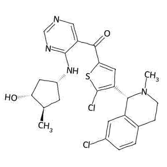 C[C@@H]1C[C@@H](Nc2ncncc2C(=O)c2cc([C@H]3c4cc(Cl)ccc4CCN3C)c(Cl)s2)C[C@H]1O